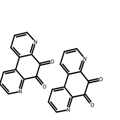 O=C1C(=O)c2ncccc2-c2cccnc21.O=C1C(=O)c2ncccc2-c2cccnc21